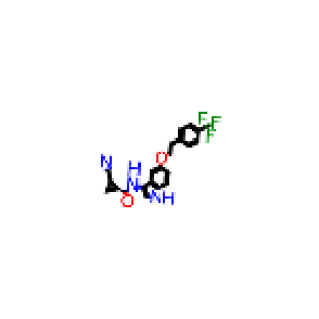 N#CC1C[C@@H]1C(=O)Nc1c[nH]c2ccc(OCCc3ccc(C(F)(F)F)cc3)cc12